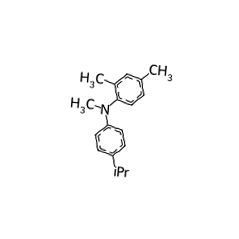 Cc1ccc(N(C)c2ccc(C(C)C)cc2)c(C)c1